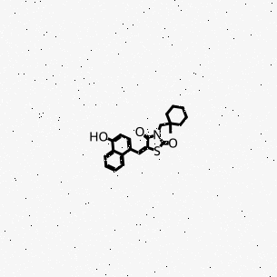 CC1(CN2C(=O)SC(=Cc3ccc(O)c4ccccc34)C2=O)CCCCC1